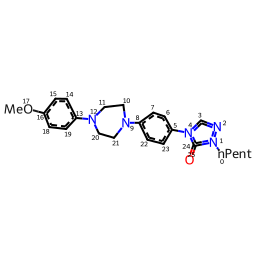 CCCCCn1ncn(-c2ccc(N3CCN(c4ccc(OC)cc4)CC3)cc2)c1=O